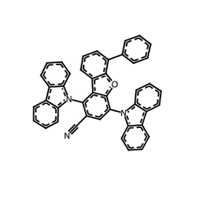 N#Cc1cc(-n2c3ccccc3c3ccccc32)c2oc3c(-c4ccccc4)cccc3c2c1-n1c2ccccc2c2ccccc21